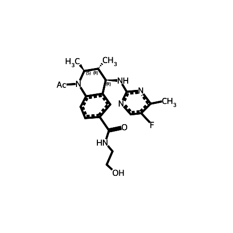 CC(=O)N1c2ccc(C(=O)NCCO)cc2[C@H](Nc2ncc(F)c(C)n2)[C@@H](C)[C@@H]1C